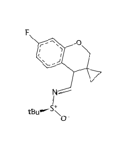 CC(C)(C)[S@+]([O-])N=CC1c2ccc(F)cc2OCC12CC2